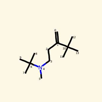 C=C(CCN(C)C(C)(C)C)C(C)(C)C